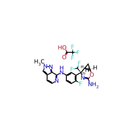 Cn1cc2ccnc(Nc3ccc(F)c([C@@]4(C(F)F)N=C(N)O[C@@H]5C[C@@H]54)c3)c2n1.O=C(O)C(F)(F)F